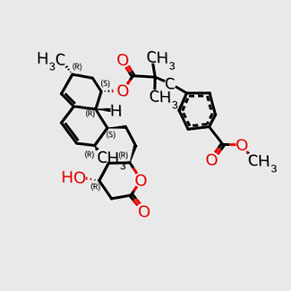 COC(=O)c1ccc(CC(C)(C)C(=O)O[C@H]2C[C@@H](C)C=C3C=C[C@H](C)[C@H](CC[C@@H]4C[C@@H](O)CC(=O)O4)[C@H]32)cc1